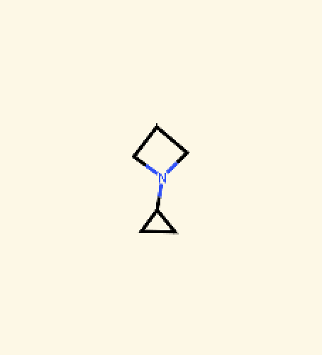 [CH]1CN(C2CC2)C1